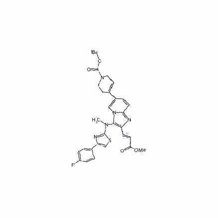 COC(=O)/C=C/c1nc2ccc(C3=CCN(C(=O)OC(C)(C)C)CC3)cn2c1N(C)c1nc(-c2ccc(F)cc2)cs1